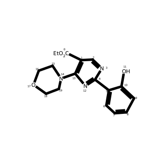 CCOC(=O)c1cnc(-c2ccccc2O)nc1N1CCOCC1